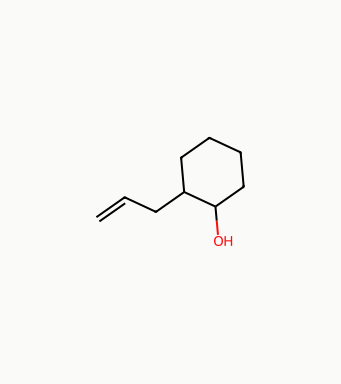 C=CCC1CCCCC1O